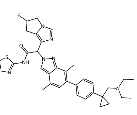 CCN(CC)CC1(c2ccc(-c3cc(C)c4cn(C(C(=O)Nc5nccs5)c5ncn6c5CC(F)C6)nc4c3C)cc2)CC1